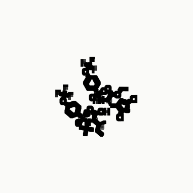 CCOC(=O)[C@H](Cc1cc(Cl)sc1Cl)NS(=O)(=O)c1ccc(OC(F)(F)F)cc1.CC[C@H](C)[C@@H](C(=O)O)N(C(C)(C)C)S(=O)(=O)c1ccc(OC(F)(F)F)cc1